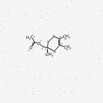 CC(=O)OC[C@]1(C)CCC(C)=C(C)C1